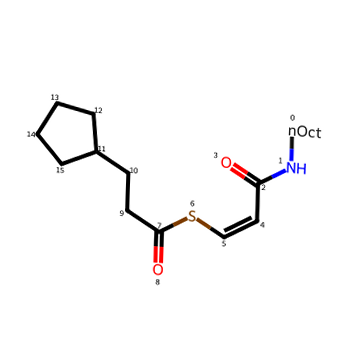 CCCCCCCCNC(=O)/C=C\SC(=O)CCC1CCCC1